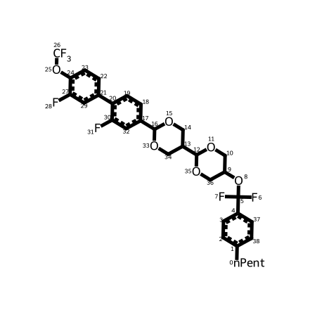 CCCCCc1ccc(C(F)(F)OC2COC(C3COC(c4ccc(-c5ccc(OC(F)(F)F)c(F)c5)c(F)c4)OC3)OC2)cc1